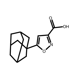 O=C(O)c1cc(C23CC4CC(CC(C4)C2)C3)on1